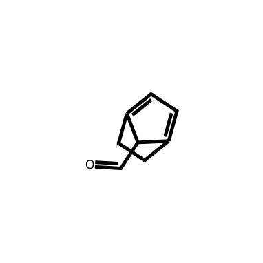 O=CC1C2=CC=C1CC2